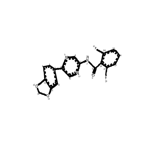 O=C(Nc1cnc(-c2ccc3c(c2)OCO3)cn1)c1c(F)cccc1F